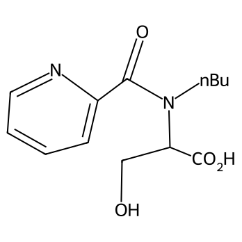 CCCCN(C(=O)c1ccccn1)C(CO)C(=O)O